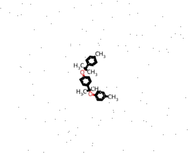 Cc1ccc(OC(C)(C)c2ccc(OC(C)(C)c3ccc(C)cc3)cc2)cc1